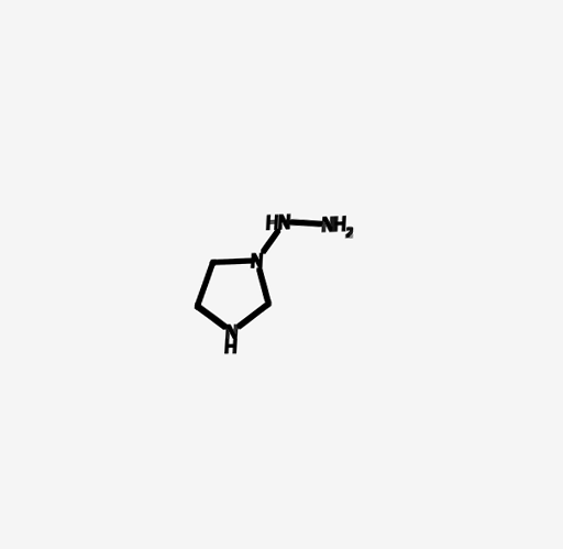 NNN1CCNC1